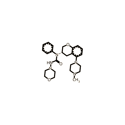 CN1CCN(c2cccc3c2C[C@H](N(C(=O)NN2CCOCC2)c2ccccc2)CO3)CC1